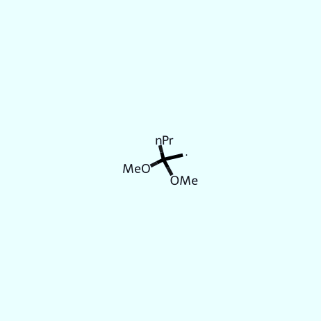 [CH2]C(CCC)(OC)OC